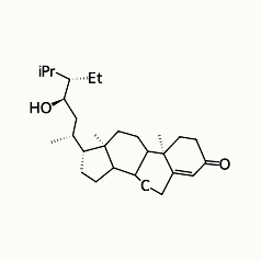 CC[C@@H](C(C)C)[C@H](O)C[C@@H](C)[C@H]1CCC2C3CCC4=CC(=O)CC[C@]4(C)C3CC[C@@]21C